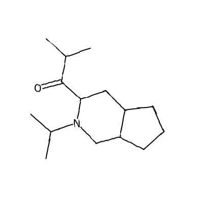 CC(C)C(=O)C1CC2CCCC2CN1C(C)C